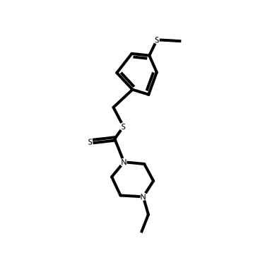 CCN1CCN(C(=S)SCc2ccc(SC)cc2)CC1